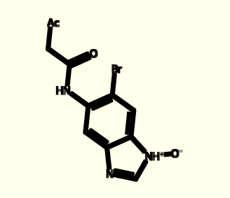 CC(=O)CC(=O)Nc1cc2c(cc1Br)[NH+]([O-])C=N2